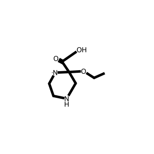 CCOC1(C(=O)O)CNCC[N]1